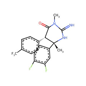 CN1C(=N)N[C@](C)(c2ccc(F)c(F)c2)[C@H](c2ccc(C(F)(F)F)cc2)C1=O